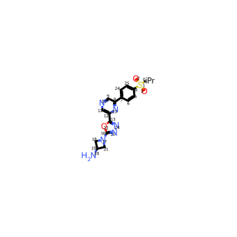 CC(C)S(=O)(=O)c1ccc(-c2cncc(-c3nnc(N4CC(N)C4)o3)n2)cc1